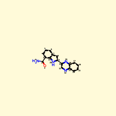 NC(=O)c1cccc2cc(-c3cnc4ccccc4n3)[nH]c12